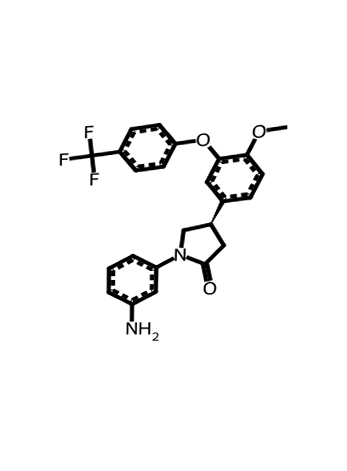 COc1ccc([C@H]2CC(=O)N(c3cccc(N)c3)C2)cc1Oc1ccc(C(F)(F)F)cc1